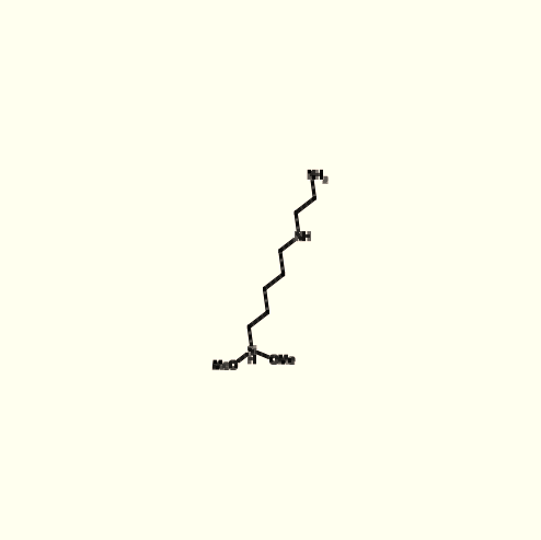 CO[SiH](CCCCCNCCN)OC